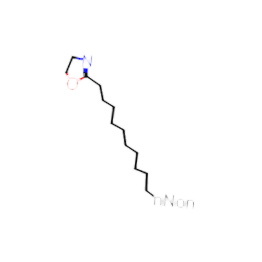 CCCCCCCCCCCCCCCCCCCC1=NCCO1